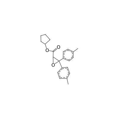 Cc1ccc(C2(c3ccc(C)cc3)OC2C(=O)OC2CCCC2)cc1